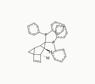 C1=CC23CC2C2[C@@H]([C@@H]13)C2(P(c1ccccc1)c1ccccc1)P(c1ccccc1)c1ccccc1